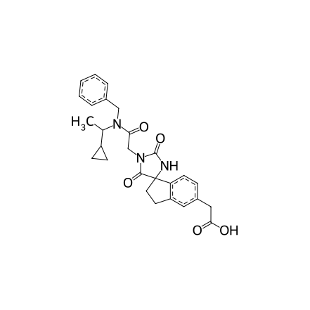 CC(C1CC1)N(Cc1ccccc1)C(=O)CN1C(=O)NC2(CCc3cc(CC(=O)O)ccc32)C1=O